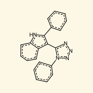 c1ccc(-c2[nH]c3ccccc3c2-c2nnnn2-c2ccccc2)cc1